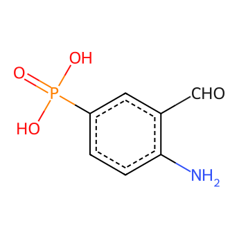 Nc1ccc(P(=O)(O)O)cc1C=O